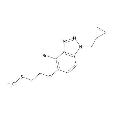 CSCCOc1ccc2c(nnn2CC2CC2)c1Br